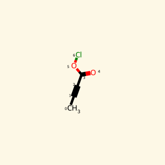 CC#CC(=O)OCl